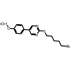 CCCCCCCCOc1ccc(-c2cnc(SCCCCCC(C)CC)nc2)cc1